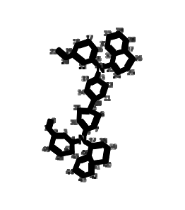 C=CC1=CC(N(c2ccc(-c3ccc(N(c4cccc(C=C)c4)c4cccc5ccccc45)cc3)cc2)c2cccc3ccccc23)CC=C1